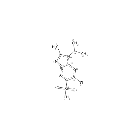 Cc1nc2cc(S(C)(=O)=O)c(Cl)cc2n1C(C)C